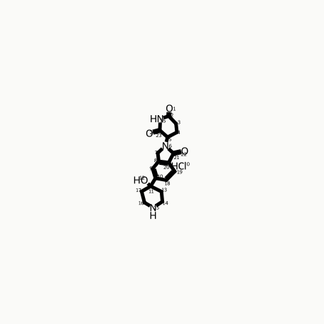 Cl.O=C1CCC(N2Cc3cc(C4(O)CCNCC4)ccc3C2=O)C(=O)N1